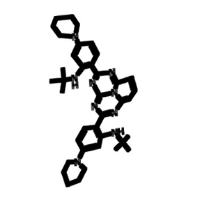 CC(C)(C)Nc1cc(N2CCCCC2)ccc1C1=NC2=CC=CC3=NC(c4ccc(N5CCCCC5)cc4NC(C)(C)C)=NC(=N1)N23